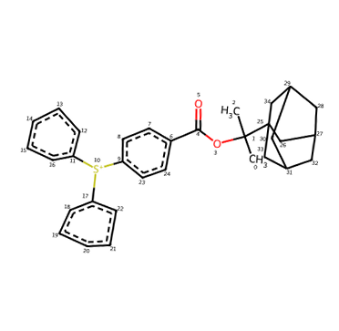 CC(C)(OC(=O)c1ccc([S+](c2ccccc2)c2ccccc2)cc1)C12CC3CC(CC(C3)C1)C2